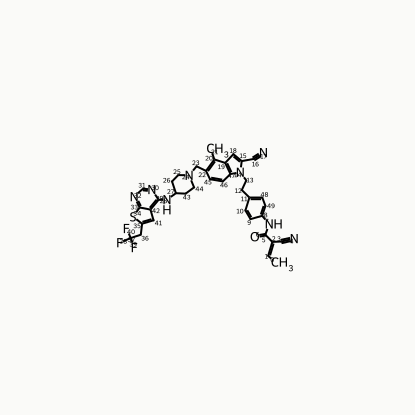 C/C=C(\C#N)C(=O)Nc1ccc(CCn2c(C#N)cc3c(C)c(CN4CCC(Nc5ncnc6sc(CC(F)(F)F)cc56)CC4)ccc32)cc1